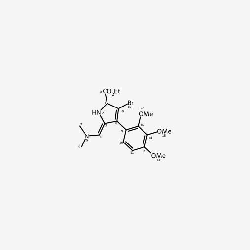 CCOC(=O)C1NC(=CN(C)C)C(c2ccc(OC)c(OC)c2OC)=C1Br